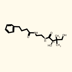 CC(C)(CO)[C@@H](O)C(=O)NCCNC(=O)CCCc1ccccc1